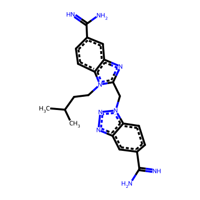 CC(C)CCn1c(Cn2nnc3cc(C(=N)N)ccc32)nc2cc(C(=N)N)ccc21